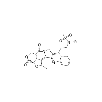 CC[C@]12OC(C)c3c1c(c(=O)n1c3-c3nc4ccccc4c(CCN(C(C)C)S(C)(=O)=O)c3C1)COC2=O